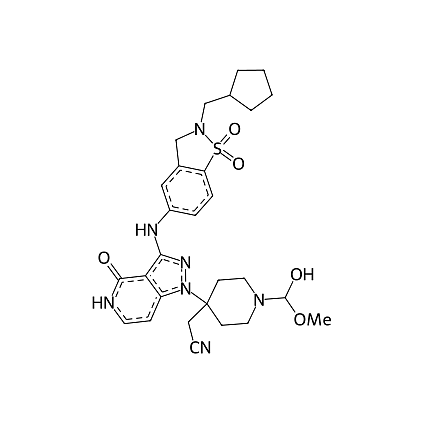 COC(O)N1CCC(CC#N)(n2nc(Nc3ccc4c(c3)CN(CC3CCCC3)S4(=O)=O)c3c(=O)[nH]ccc32)CC1